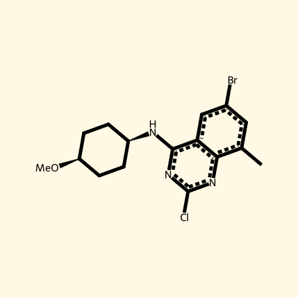 CO[C@H]1CC[C@@H](Nc2nc(Cl)nc3c(C)cc(Br)cc23)CC1